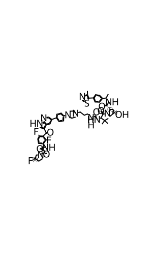 Cc1ncsc1-c1ccc(C(C)NC(=O)[C@@H]2C[C@@H](O)CN2C(=O)C(NC(=O)NCCCN2CCN(c3ccc(-c4cnc5[nH]cc(C(=O)c6c(F)ccc(NS(=O)(=O)N7CC[C@@H](F)C7)c6F)c5c4)cc3)CC2)C(C)(C)C)cc1